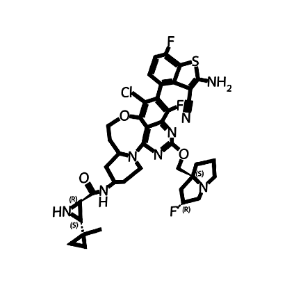 CC1([C@@H]2N[C@H]2C(=O)NC2CCN3c4nc(OC[C@@]56CCCN5C[C@H](F)C6)nc5c(F)c(-c6ccc(F)c7sc(N)c(C#N)c67)c(Cl)c(c45)OCCC3C2)CC1